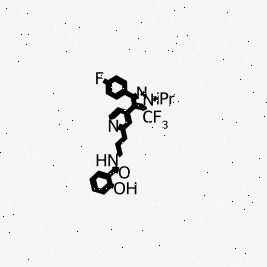 CC(C)n1nc(-c2ccc(F)cc2)c(-c2ccnc(CCCNC(=O)c3ccccc3O)c2)c1C(F)(F)F